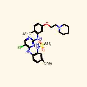 COc1ccc(Nc2nc(Nc3cc(OCCN4CCCCC4)ccc3OC)ncc2Cl)c(NS(C)(=O)=O)c1